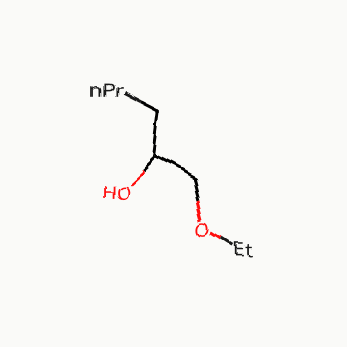 CCCCC(O)COCC